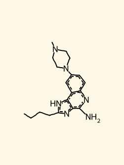 CCCCc1nc2c(N)nc3ccc(N4CCN(C)CC4)cc3c2[nH]1